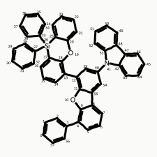 c1ccc(-c2cccc3c2oc2c(-c4cccc5c4Oc4ccccc4[Si]5(c4ccccc4)c4ccccc4)cc(-n4c5ccccc5c5ccccc54)cc23)cc1